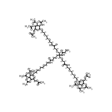 CC(=O)NC1C(OC(C)=O)[C@@H](OC(C)=O)C(COC(C)=O)O[C@H]1OCCOCCOCCNC(=O)CCOCC(COCCC(=O)NCCOCCOCCO[C@@H]1OC(COC(C)=O)[C@H](OC(C)=O)C(OC(C)=O)C1NC(C)=O)(COCCC(=O)NCCOCCOCCO[C@@H]1OC(COC(C)=O)[C@H](OC(C)=O)C(OC(C)=O)C1NC(C)=O)NC(=O)CN